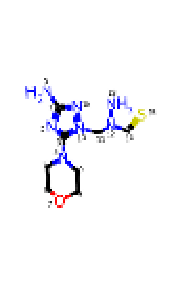 Nc1nc(N2CCOCC2)n(CN(N)C=S)n1